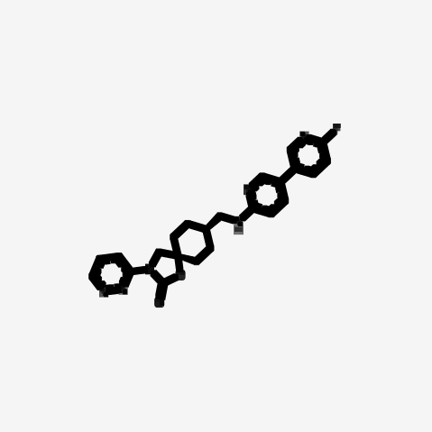 O=C1O[C@]2(CC[C@H](CNc3ccc(-c4ccc(F)nc4)cn3)CC2)CN1c1cccnn1